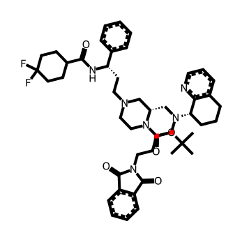 CC(C)(C)OC(=O)N1CCN(CC[C@H](NC(=O)C2CCC(F)(F)CC2)c2ccccc2)C[C@@H]1CN(CCCCN1C(=O)c2ccccc2C1=O)[C@H]1CCCc2cccnc21